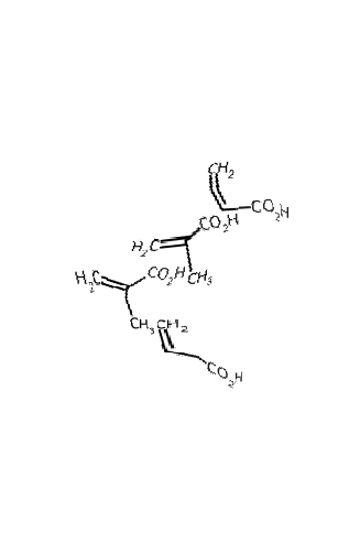 C=C(C)C(=O)O.C=C(C)C(=O)O.C=CC(=O)O.C=CC(=O)O